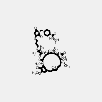 COc1cc2cc(c1Cl)N(C)C(=O)C[C@H](OC(=O)C(C)(C)OCCCSC1CC(=O)N(C[C@H]3CC[C@H](C(=O)NNI)CC3)C1=O)[C@]1(C)O[C@H]1[C@H](C)[C@@H]1C[C@@](O)(NC(=O)O1)[C@H](OC)/C=C/C=C(\C)C2